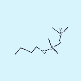 CCCCO[Si](C)(C)C[SiH](C)C